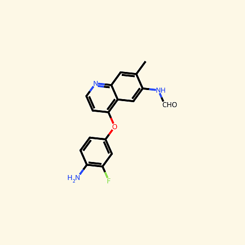 Cc1cc2nccc(Oc3ccc(N)c(F)c3)c2cc1NC=O